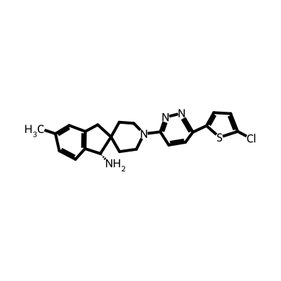 Cc1ccc2c(c1)CC1(CCN(c3ccc(-c4ccc(Cl)s4)nn3)CC1)[C@@H]2N